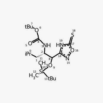 CC(C)C[C@H](NC(=O)OC(C)(C)C)C(O[Si](C)(C)C(C)(C)C)c1noc(=S)[nH]1